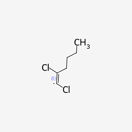 CCCC/C(Cl)=[C]\Cl